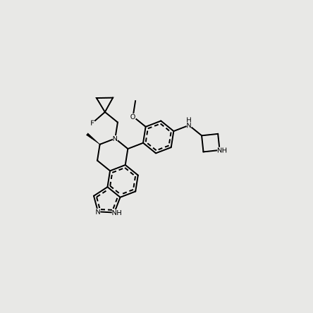 COc1cc(NC2CNC2)ccc1C1c2ccc3[nH]ncc3c2C[C@@H](C)N1CC1(F)CC1